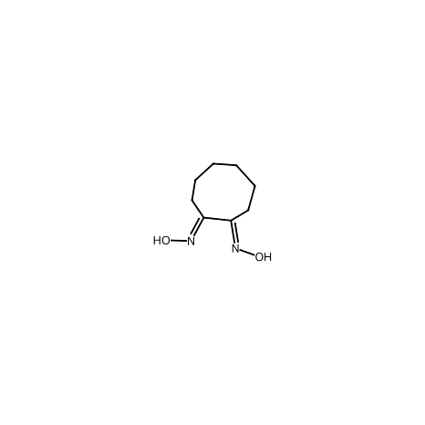 ON=C1CCCCCCC1=NO